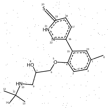 Cc1ccc(OCC(O)CNC(C)(C)C)c(-c2ccc(=S)[nH]n2)c1